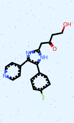 O=C(CCO)Cc1nc(-c2ccncc2)c(-c2ccc(F)cc2)[nH]1